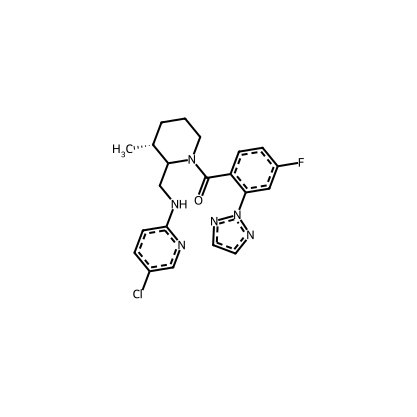 C[C@@H]1CCCN(C(=O)c2ccc(F)cc2-n2nccn2)C1CNc1ccc(Cl)cn1